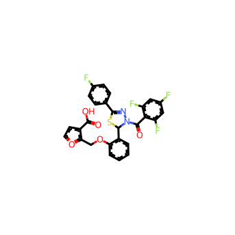 O=C(O)c1ccoc1COc1ccccc1C1SC(c2ccc(F)cc2)=NN1C(=O)c1c(F)cc(F)cc1F